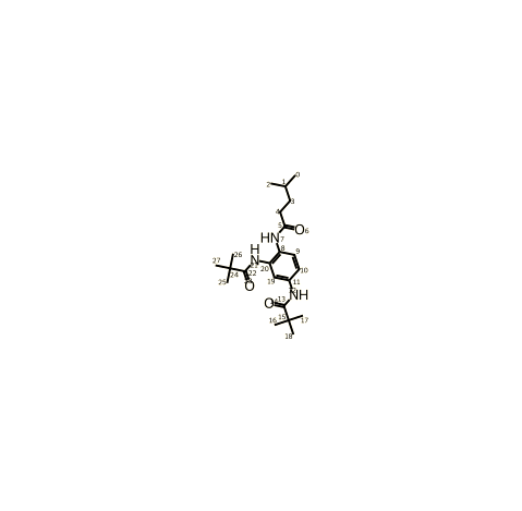 CC(C)CCC(=O)Nc1ccc(NC(=O)C(C)(C)C)cc1NC(=O)C(C)(C)C